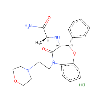 C[C@H](N[C@H]1C(=O)N(CCN2CCOCC2)c2ccccc2O[C@H]1c1ccccc1)C(N)=O.Cl